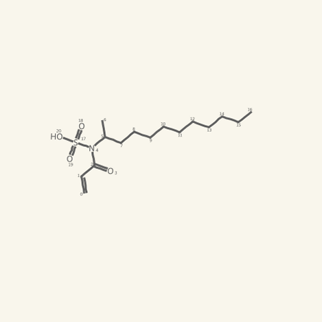 C=CC(=O)N(C(C)CCCCCCCCCC)S(=O)(=O)O